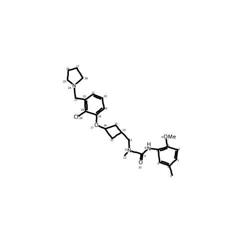 COc1ccc(C)cc1NC(=O)N(C)CC1CC(Oc2cccc(CN3CCCC3)c2Cl)C1